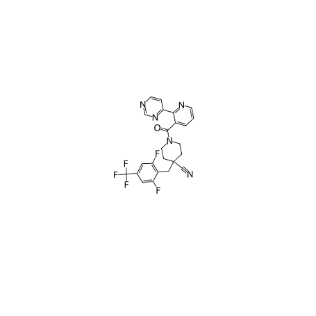 N#CC1(Cc2c(F)cc(C(F)(F)F)cc2F)CCN(C(=O)c2cccnc2-c2ccncn2)CC1